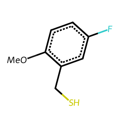 COc1ccc(F)cc1CS